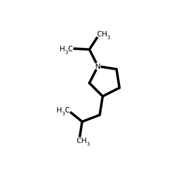 CC(C)CC1CCN(C(C)C)C1